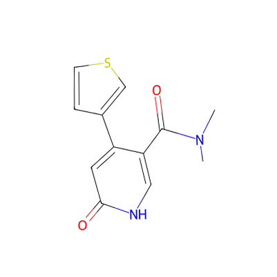 CN(C)C(=O)c1c[nH]c(=O)cc1-c1ccsc1